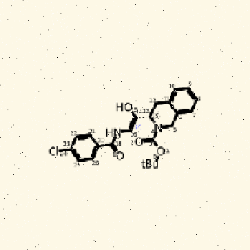 CC(C)(C)OC(=O)N1Cc2ccccc2C[C@H]1/C(O)=C/NC(=O)c1ccc(Cl)cc1